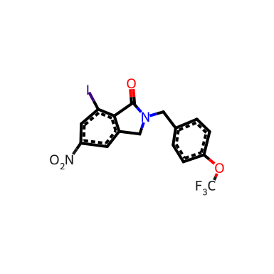 O=C1c2c(I)cc([N+](=O)[O-])cc2CN1Cc1ccc(OC(F)(F)F)cc1